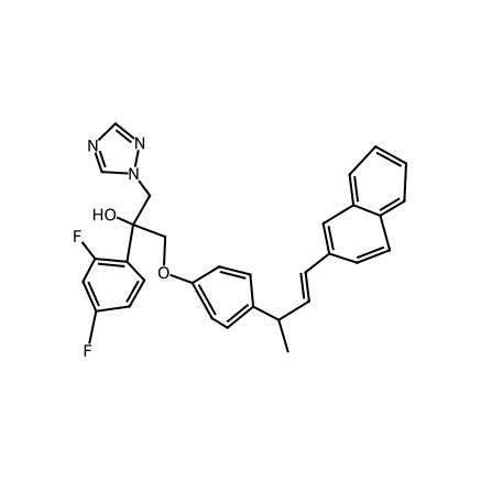 CC(/C=C/c1ccc2ccccc2c1)c1ccc(OCC(O)(Cn2cncn2)c2ccc(F)cc2F)cc1